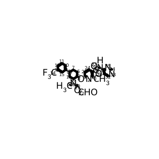 Cc1nc(O[C@H]2CC[C@H](c3cccc(C(F)(F)F)c3)C[C@@H]2N(C)COC=O)ccc1S(=O)(=O)Nc1ccncn1